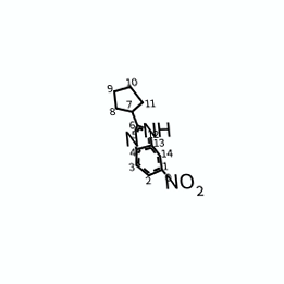 O=[N+]([O-])c1ccc2nc(C3CCCC3)[nH]c2c1